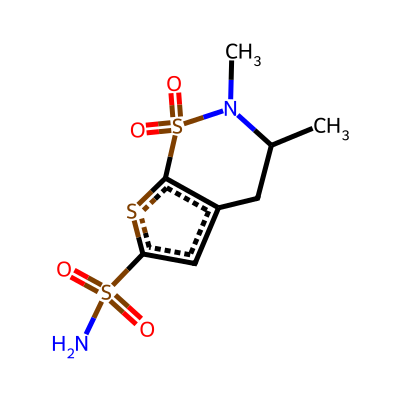 CC1Cc2cc(S(N)(=O)=O)sc2S(=O)(=O)N1C